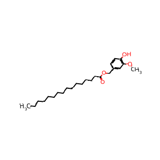 CCCCCCCCCCCCCCCC(=O)OCc1ccc(O)c(OC)c1